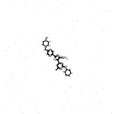 Cc1cc(-c2sc(-c3cnc(CN4CCN(C)CC4)cn3)nc2N)nc(OC2CCCCC2)n1